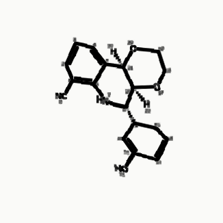 N#Cc1cccc2c1N[C@@H](C1C=C(O)C=CC1)[C@@H]1OCCO[C@H]21